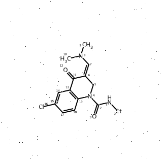 CCNC(=O)N1C/C(=C/N(C)C)C(=O)c2cc(Cl)ccc21